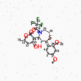 COc1ccc(C2CC(c3c(O)cc(C)oc3=O)N(C(=O)C(F)(F)F)CCS2)c(OC)c1